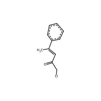 CC(=CC(=O)CCl)c1ccccc1